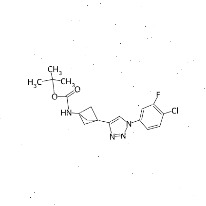 CC(C)(C)OC(=O)NC12CC(c3cn(-c4ccc(Cl)c(F)c4)nn3)(C1)C2